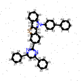 c1ccc(-c2ccc(-n3c4ccccc4c4sc5cc(-c6nc(-c7ccccc7)cc(-c7ccccc7)n6)ccc5c43)cc2)cc1